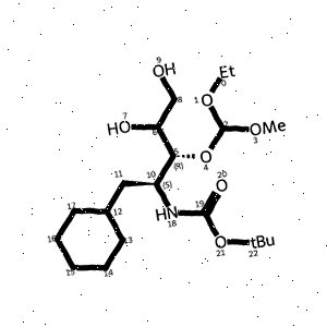 CCOC(OC)O[C@@H](C(O)CO)[C@H](CC1CCCCC1)NC(=O)OC(C)(C)C